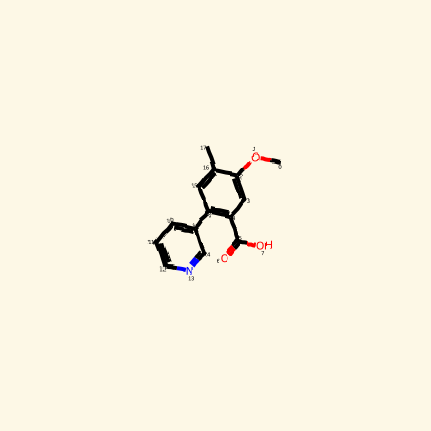 COc1cc(C(=O)O)c(-c2cccnc2)cc1C